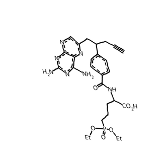 C#CCC(Cc1cnc2nc(N)nc(N)c2n1)c1ccc(C(=O)NC(CCCP(=O)(OCC)OCC)C(=O)O)cc1